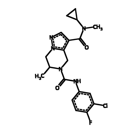 CC1Cn2ncc(C(=O)N(C)C3CC3)c2CN1C(=O)Nc1ccc(F)c(Cl)c1